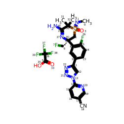 CN=S1(=O)C[C@@](CF)(c2cc(-c3cn(-c4ccc(C#N)cn4)nn3)ccc2F)N=C(N)C1(C)C.O=C(O)C(F)(F)F